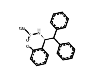 CC(C)(C)[S+]([O-])N[C@@H](c1ccccc1Cl)C(c1ccccc1)c1ccccc1